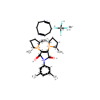 C1=C\CC/C=C\CC/1.C[C@@H]1CC[C@@H](C)P1C1=C(P2[C@H](C)CC[C@H]2C)C(=O)N(c2cc(C(F)(F)F)cc(C(F)(F)F)c2)C1=O.F[B-](F)(F)F.[Rh+]